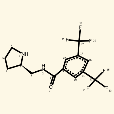 O=C(NC[C@H]1CCCN1)c1cc(C(F)(F)F)cc(C(F)(F)F)c1